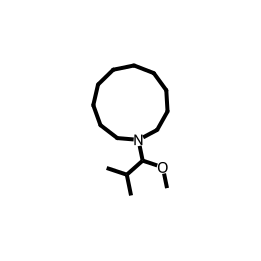 COC(C(C)C)N1CCCCCCCCCC1